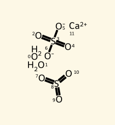 O.O.O=S(=O)([O-])[O-].O=S(=O)=O.[Ca+2]